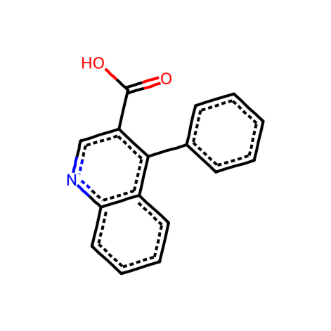 O=C(O)c1cnc2ccccc2c1-c1ccccc1